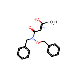 O=C(O)/C(O)=C/C(=O)N(Cc1ccccc1)OCc1ccccc1